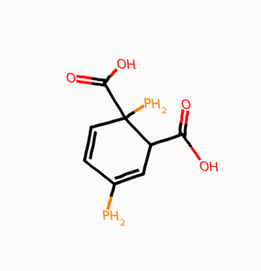 O=C(O)C1C=C(P)C=CC1(P)C(=O)O